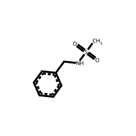 CS(=O)(=O)NCc1c[c]ccc1